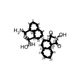 NC(=O)c1cccc2cccc(C(=O)NO)c12.O=C1c2ccc3ccccc3c2C(=O)N1O